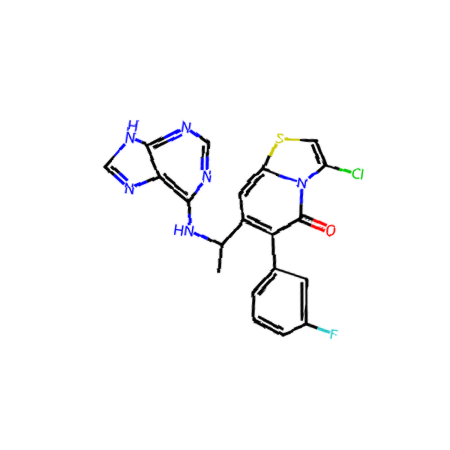 CC(Nc1ncnc2[nH]cnc12)c1cc2scc(Cl)n2c(=O)c1-c1cccc(F)c1